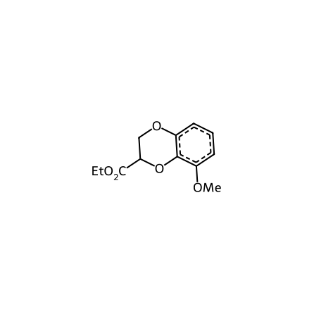 CCOC(=O)C1COc2cccc(OC)c2O1